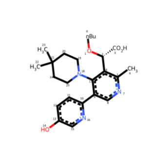 CCCCO[C@H](C(=O)O)c1c(C)ncc(-c2ccc(O)cn2)c1N1CCC(C)(C)CC1